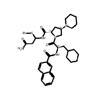 CC(C)SC(CC(N)=O)NC(=O)[C@@H]1C[C@@H](N2CCCCC2)CN1C(=O)[C@@H](CC1CCCCC1)NC(=O)c1ccc2ccccc2c1